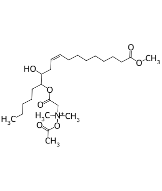 CCCCCC(OC(=O)C[N+](C)(C)OC(C)=O)C(O)C/C=C\CCCCCCCC(=O)OC